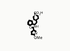 COc1ccc(C(=O)NC(CC2CCN(C(=O)O)CC2)c2ccccc2)cn1